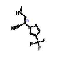 CN/C=C(\C#N)n1cc(C(F)(F)F)cn1